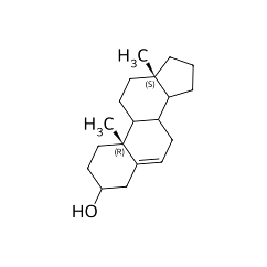 C[C@@]12CCCC1C1CC=C3CC(O)CC[C@]3(C)C1CC2